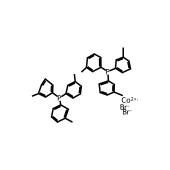 Cc1cccc(P(c2cccc(C)c2)c2cccc(C)c2)c1.Cc1cccc(P(c2cccc(C)c2)c2cccc(C)c2)c1.[Br-].[Br-].[Co+2]